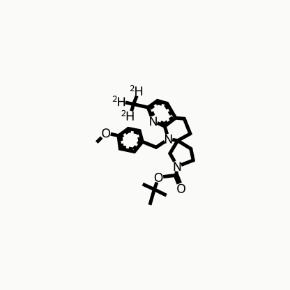 [2H]C([2H])([2H])c1ccc2c(n1)N(Cc1ccc(OC)cc1)C1(CC2)CCN(C(=O)OC(C)(C)C)C1